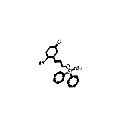 CC(C)C1CCC(=O)CC1C=CCO[Si](c1ccccc1)(c1ccccc1)C(C)(C)C